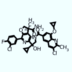 Cc1nc2c(OC3CC3)cc(C(=O)NCC(O)(c3cc4c(c(-c5ccc(F)c(Cl)c5)n3)OC[C@]4(C)C(N)=O)C3CC3)cc2cc1Cl